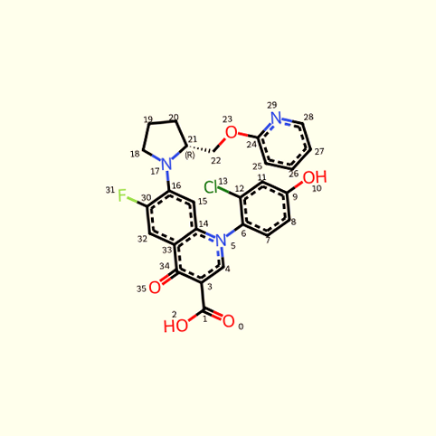 O=C(O)c1cn(-c2ccc(O)cc2Cl)c2cc(N3CCC[C@@H]3COc3ccccn3)c(F)cc2c1=O